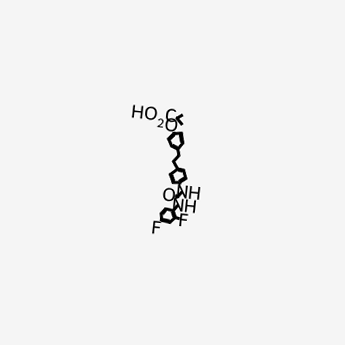 CC(C)(Oc1ccc(CCc2ccc(NC(=O)Nc3ccc(F)cc3F)cc2)cc1)C(=O)O